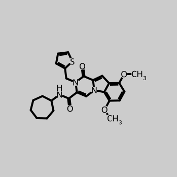 COc1ccc(OC)c2c1cc1c(=O)n(Cc3cccs3)c(C(=O)NC3CCCCCC3)cn12